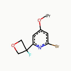 CC(C)Oc1cc(Br)nc(C2(F)COC2)c1